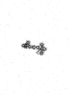 C/C=C\C=C1/c2cc(-c3ccc(-c4ccc5c(c4)c4ccccc4n4c6ccccc6nc54)cc3)ccc2-c2c1c(-c1ccccc1)c1ccccc1c2-c1ccccc1